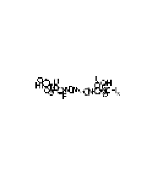 CS(=O)(=O)c1ccc(N2CCC(CCN3CCN(c4cc5c(cc4F)C(=O)N(C4CCC(=O)NC4=O)C5=O)CC3)CC2)c2c1[C@@H](O)[C@@H](F)C2